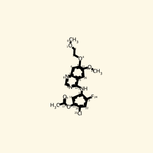 COCCOc1cc2ncnc(Nc3cc(OC(C)=O)c(Cl)cc3F)c2cc1OC